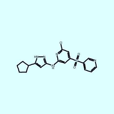 O=S(=O)(c1cccnc1)c1cc(Cl)nc([AsH]c2cc(C3CCCC3)[nH]n2)c1